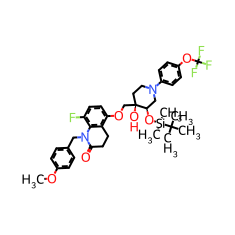 COc1ccc(CN2C(=O)CCc3c(OC[C@]4(O)CCN(c5ccc(OC(F)(F)F)cc5)C[C@H]4O[Si](C)(C)C(C)(C)C)ccc(F)c32)cc1